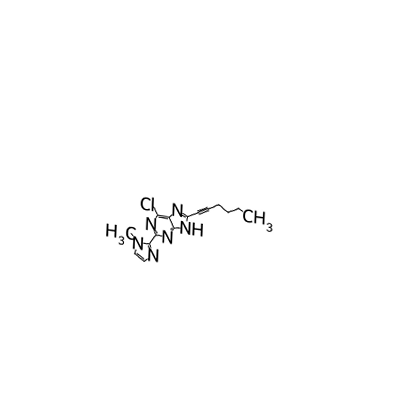 CCCCC#Cc1nc2c(Cl)nc(-c3nccn3C)nc2[nH]1